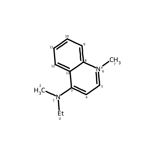 CCN(C)c1cc[n+](C)c2ccccc12